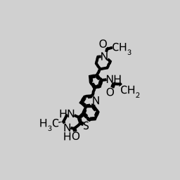 C=CC(=O)Nc1cc(-c2ccc3c(ccc4sc5c(c43)NC[C@@H](C)NC5=O)n2)ccc1C1CCN(C(C)=O)CC1